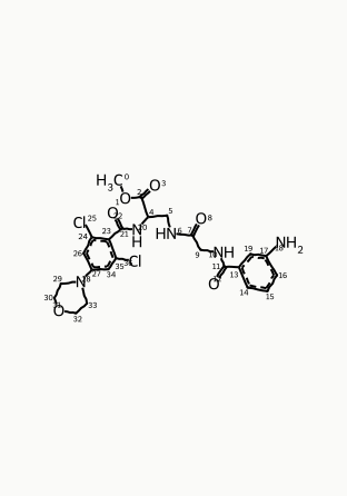 COC(=O)C(CNC(=O)CNC(=O)c1cccc(N)c1)NC(=O)c1c(Cl)cc(N2CCOCC2)cc1Cl